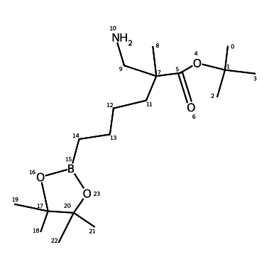 CC(C)(C)OC(=O)C(C)(CN)CCCCB1OC(C)(C)C(C)(C)O1